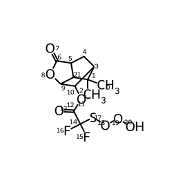 CC1(C)C2CC3C(=O)OC(C2OC(=O)C(F)(F)SOOO)C31